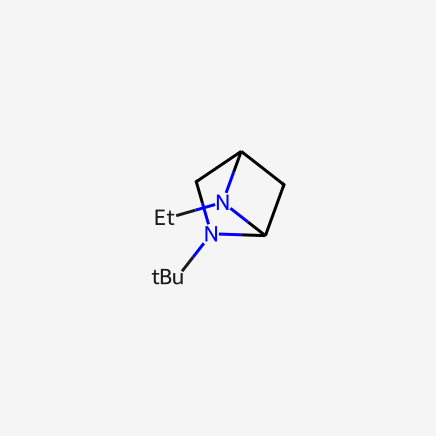 CCN1C2CC1N(C(C)(C)C)C2